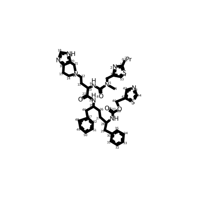 CC(C)c1nc(CN(C)C(=O)NC(CCN2CCc3nc[nH]c3C2)C(=O)NC(CCC(Cc2ccccc2)NC(=O)OCc2cncs2)Cc2ccccc2)cs1